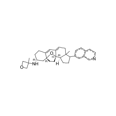 CC1(N[C@@H]2CCC3=CC4=CCC5(C)C(c6ccc7ccncc7c6)CC[C@H]5[C@@]45CC[C@]3(C2)O5)COC1